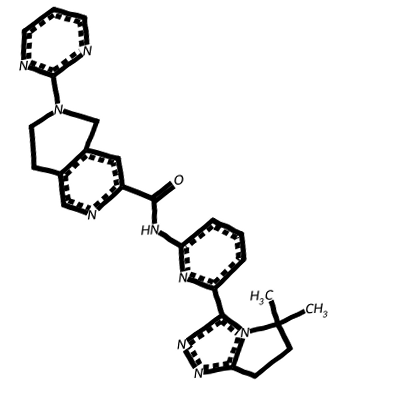 CC1(C)CCc2nnc(-c3cccc(NC(=O)c4cc5c(cn4)CCN(c4ncccn4)C5)n3)n21